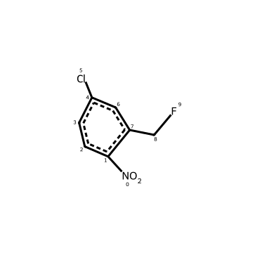 O=[N+]([O-])c1ccc(Cl)cc1CF